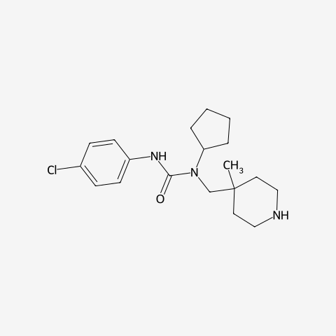 CC1(CN(C(=O)Nc2ccc(Cl)cc2)C2CCCC2)CCNCC1